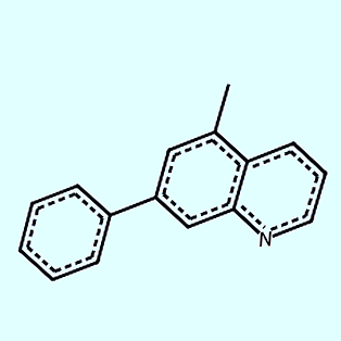 Cc1cc(-c2ccccc2)cc2ncccc12